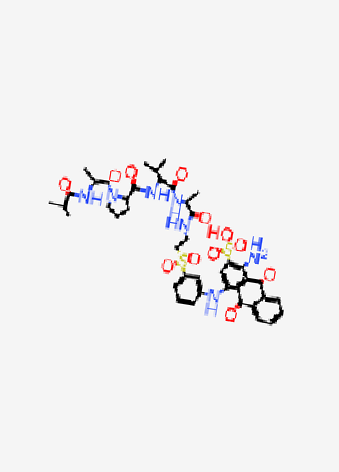 CC(C)C(=O)NC(C)C(=O)N1CCCC1C(=O)NC(C(=O)NC(C)C(=O)NCCS(=O)(=O)c1cccc(Nc2cc(S(=O)(=O)O)c(N)c3c2C(=O)c2ccccc2C3=O)c1)C(C)C